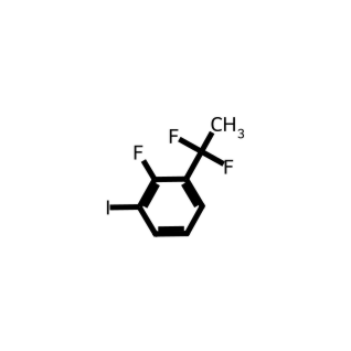 CC(F)(F)c1cccc(I)c1F